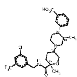 C[C@H]1CN([C@@H]2CC[C@](C)(C(=O)NCc3cc(Cl)cc(C(F)(F)F)c3)OC2)CC[C@@H]1c1cccc(C(=O)O)c1